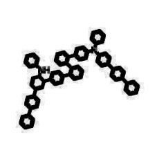 C1=CC(Nc2ccccc2)C(c2ccc(-c3ccccc3-c3ccccc3-c3ccc(N(c4ccccc4)c4ccc(-c5ccc(-c6ccccc6)cc5)cc4)cc3)cc2)C=C1c1ccc(-c2ccccc2)cc1